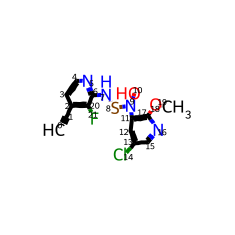 C#Cc1ccnc(NSN(O)c2cc(Cl)cnc2OC)c1F